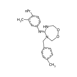 CCCc1ccc(/N=C2\NCOOCN2Cc2ccc(C)cc2)cc1C